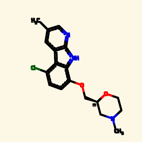 Cc1cnc2[nH]c3c(OC[C@@H]4CN(C)CCO4)ccc(Cl)c3c2c1